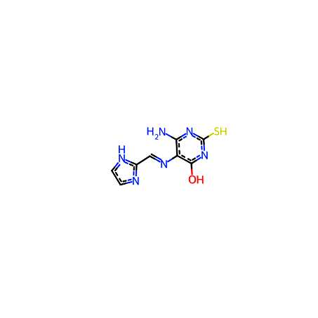 Nc1nc(S)nc(O)c1N=Cc1ncc[nH]1